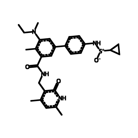 CCN(C)c1cc(-c2ccc(N[S+]([O-])C3CC3)cc2)cc(C(=O)NCc2c(C)cc(C)[nH]c2=O)c1C